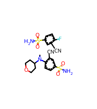 CN(c1ccc(S(N)(=O)=O)cc1C#N)C1CCOCC1.N#Cc1cc(S(N)(=O)=O)ccc1F